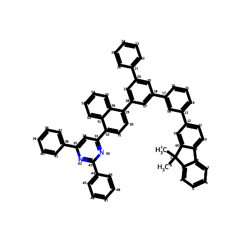 CC1(C)c2ccccc2-c2ccc(-c3cccc(-c4cc(-c5ccccc5)cc(-c5ccc(-c6cc(-c7ccccc7)nc(-c7ccccc7)n6)c6ccccc56)c4)c3)cc21